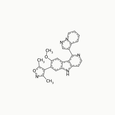 COc1cc2c(cc1-c1c(C)noc1C)[nH]c1ccnc(-c3cnn4ccccc34)c12